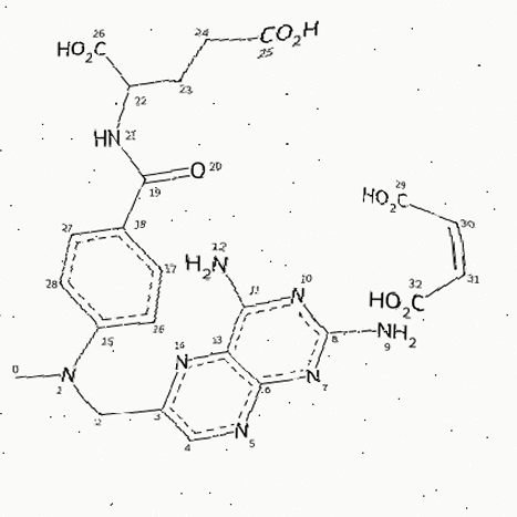 CN(Cc1cnc2nc(N)nc(N)c2n1)c1ccc(C(=O)NC(CCC(=O)O)C(=O)O)cc1.O=C(O)/C=C\C(=O)O